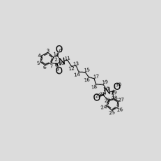 O=C1c2ccccc2C(=O)N1CCCCCCCCCN1C(=O)c2ccccc2C1=O